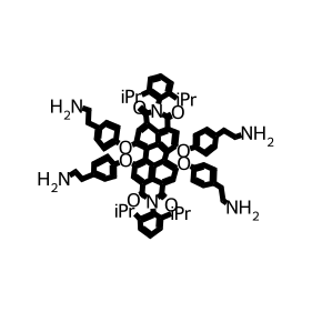 CC(C)c1cccc(C(C)C)c1N1C(=O)c2cc(Oc3ccc(CCN)cc3)c3c4c(Oc5ccc(CCN)cc5)cc5c6c(cc(Oc7ccc(CCN)cc7)c(c7c(Oc8ccc(CCN)cc8)cc(c2c37)C1=O)c64)C(=O)N(c1c(C(C)C)cccc1C(C)C)C5=O